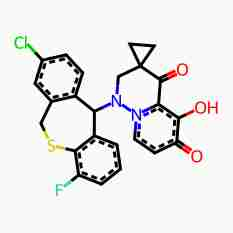 O=C1c2c(O)c(=O)ccn2N(C2c3ccc(Cl)cc3CSc3c(F)cccc32)CC12CC2